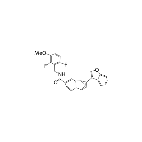 COc1ccc(F)c(CNC(=O)c2ccc3c(c2)C2CC3C=C2c2coc3ccccc23)c1F